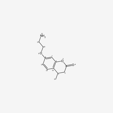 CC1CC(=O)Oc2cc(OCCN)ccc21